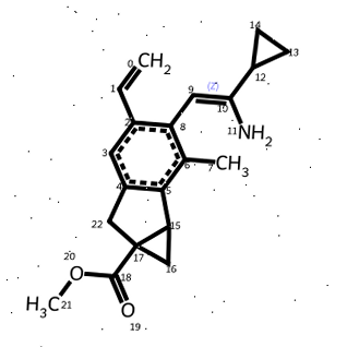 C=Cc1cc2c(c(C)c1/C=C(\N)C1CC1)C1CC1(C(=O)OC)C2